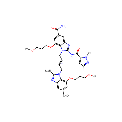 CCn1nc(C)cc1C(=O)Nc1nc2cc(C(N)=O)cc(OCCCOC(C)C)c2n1C/C=C/Cn1c(NC)nc2cc(C=O)cc(OCCCOC(C)C)c21